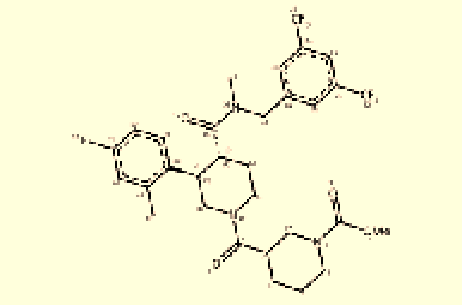 COC(=O)N1CCCC(C(=O)N2CC[C@@H](C(=O)N(C)Cc3cc(C(F)(F)F)cc(C(F)(F)F)c3)[C@H](c3ccc(F)cc3C)C2)C1